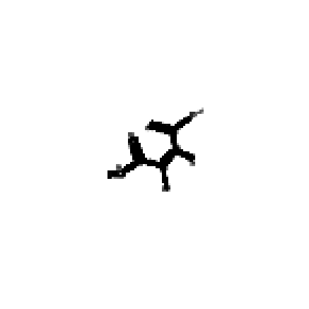 C=C(F)C(C)=C(C)C(=O)O